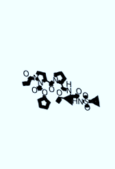 C=CC(=O)N1CC[C@@H](C(=O)N2CCC[C@H]2C(=O)N[C@]2(C(=O)NS(=O)(=O)C3CC3)C[C@H]2C=C)N1C(=O)OC1CCCC1